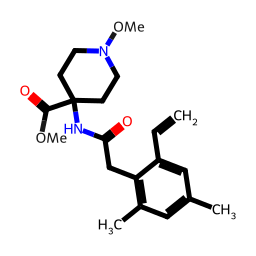 C=Cc1cc(C)cc(C)c1CC(=O)NC1(C(=O)OC)CCN(OC)CC1